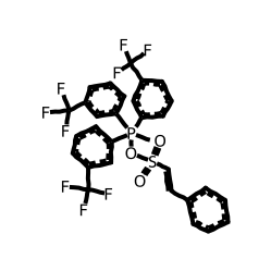 CP(OS(=O)(=O)C=Cc1ccccc1)(c1cccc(C(F)(F)F)c1)(c1cccc(C(F)(F)F)c1)c1cccc(C(F)(F)F)c1